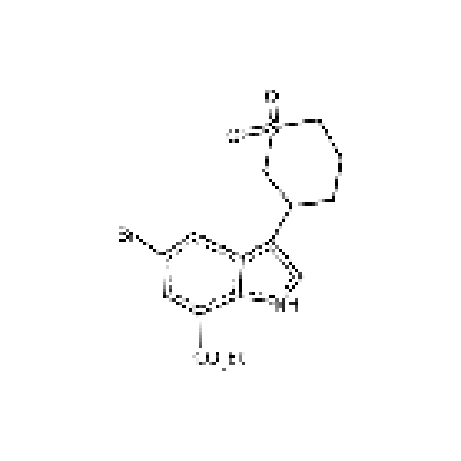 CCOC(=O)c1cc(Br)cc2c(C3CCCS(=O)(=O)C3)c[nH]c12